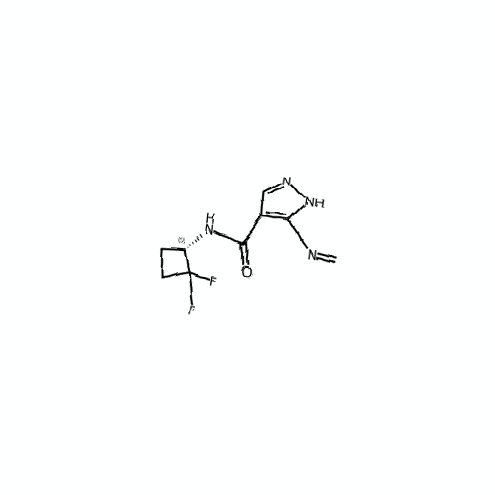 C=Nc1[nH]ncc1C(=O)N[C@H]1CCC1(F)F